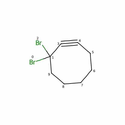 BrC1(Br)C#CCCCCC1